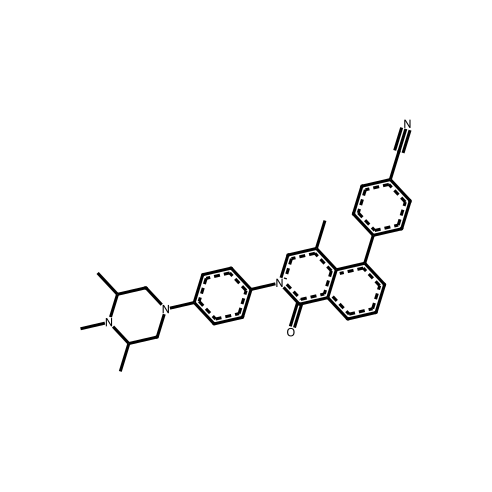 Cc1cn(-c2ccc(N3CC(C)N(C)C(C)C3)cc2)c(=O)c2cccc(-c3ccc(C#N)cc3)c12